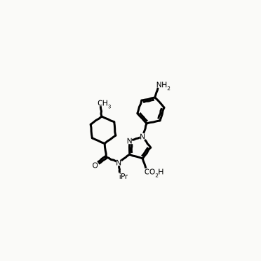 CC1CCC(C(=O)N(c2nn(-c3ccc(N)cc3)cc2C(=O)O)C(C)C)CC1